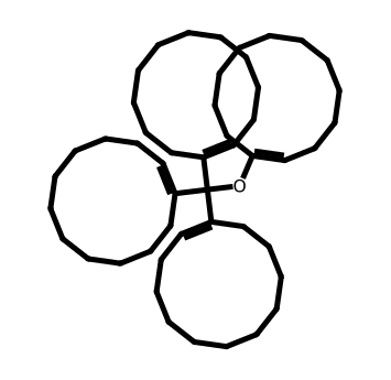 C1=C(OC(C2=CCCCCCCCCCC2)(C2=CCCCCCCCCCC2)C2=CCCCCCCCCCC2)CCCCCCCCCC1